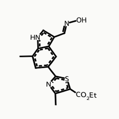 CCOC(=O)c1sc(-c2cc(C)c3[nH]cc(C=NO)c3c2)nc1C